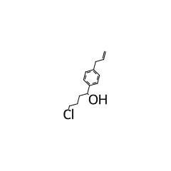 C=CCc1ccc(C(O)CCCCl)cc1